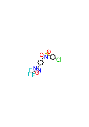 CS(=O)(=NC(=O)c1ccc(-c2noc(C(F)(F)F)n2)cc1)c1ccc(Cl)cc1